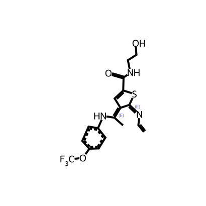 C=C/N=C1/SC(C(=O)NCCO)=C/C1=C(/C)Nc1ccc(OC(F)(F)F)cc1